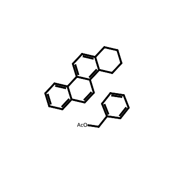 CC(=O)OCc1ccccc1.c1ccc2c(c1)ccc1c3c(ccc12)CCCC3